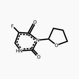 O=c1[nH]cc(F)c(=O)n1C1CCCO1